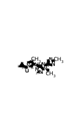 CCn1c(-c2cnc(C)nc2)nc2c(NC3CN(C(=O)C4CC4)CC3C)ncnc21